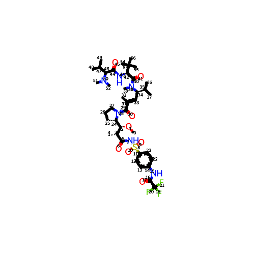 CO[C@H]([C@@H](C)C(=O)NS(=O)(=O)c1ccc(NC(=O)C(F)(F)F)cc1)[C@@H]1CCCN1C(=O)/C(C)=C/[C@H](C(C)C)N(C)C(=O)[C@@H](NC(=O)C(C(C)C)N(C)C)C(C)(C)C